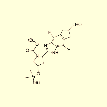 CC(C)(C)OC(=O)N1CC(O[Si](C)(C)C(C)(C)C)CC1c1nc2c(F)c3c(c(F)c2[nH]1)CC(C=O)C3